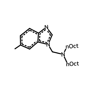 CCCCCCCCN(CCCCCCCC)Cn1cnc2ccc(C)cc21